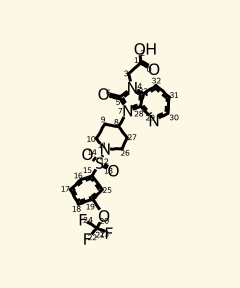 O=C(O)Cn1c(=O)n(C2CCN(S(=O)(=O)c3cccc(OC(F)(F)F)c3)CC2)c2ncccc21